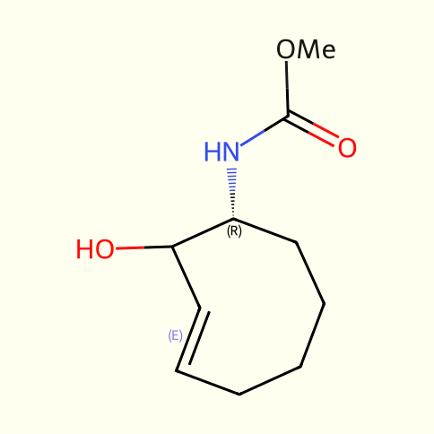 COC(=O)N[C@@H]1CCCC/C=C/C1O